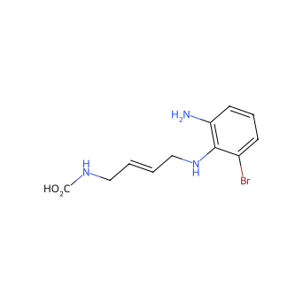 Nc1cccc(Br)c1NCC=CCNC(=O)O